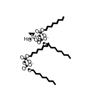 CCCCCCCCOP(=O)([O-])OP(=O)([O-])OCCCCCCCC.CCCCCCCCOP(=O)([O-])OP(=O)([O-])OCCCCCCCC.[OH][Ti+4]1([OH])[CH2][CH2]1